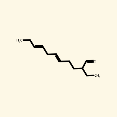 CCC=CCC=CCCC(C=O)CC